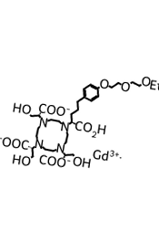 CCOCCOCCOc1ccc(CCC[C@@H](C(=O)O)N2CCN([C@H](CO)C(=O)[O-])CCN([C@H](CO)C(=O)[O-])CCN([C@@H](CO)C(=O)[O-])CC2)cc1.[Gd+3]